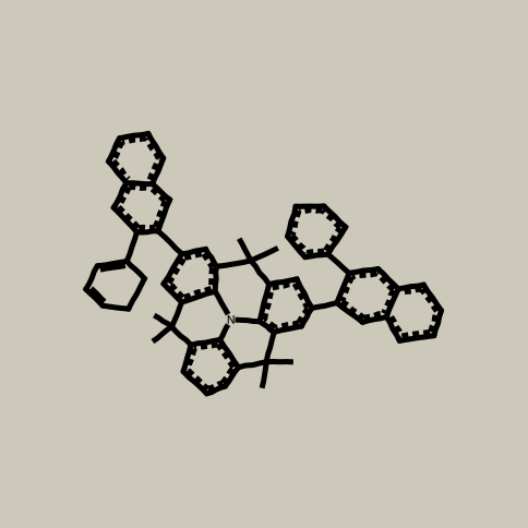 CC1(C)c2cccc3c2N2c4c1cc(-c1cc5ccccc5cc1C1=CC=CCC1)cc4C(C)(C)c1cc(-c4cc5ccccc5cc4-c4ccccc4)cc(c12)C3(C)C